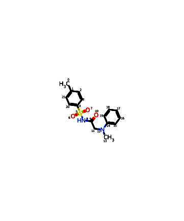 Cc1ccc(S(=O)(=O)NC(=O)CN(C)c2ccccc2)cc1